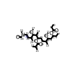 CCC(=O)OC(CC)CC(OC)C(C)CCC(OC(=O)C(C)C)C(C)C(OC)C(C)/C=C/N(C)C=O